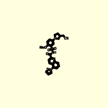 COc1ccc(N2CCC(CC#N)C2)cc1S(=O)(=O)NC(=O)c1ccc2c(-n3cccn3)cccc2n1